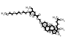 CCC(CC(S)C(=O)OCOC1CC[C@@]2(C)C(=CC[C@H]3[C@]4(C)CC[C@](C)([C@H](C)CCCC(C)C)[C@H]4CC[C@@]32C)C1)C(=O)OCCOCCOCCOC